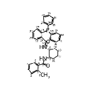 Cc1ccccc1C(=O)N[C@@H]1CCCC[C@H]1NC(=O)c1ccccc1P(c1ccccc1)c1ccccc1